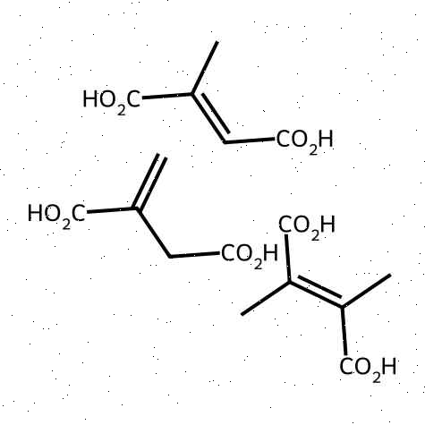 C=C(CC(=O)O)C(=O)O.CC(=CC(=O)O)C(=O)O.CC(C(=O)O)=C(C)C(=O)O